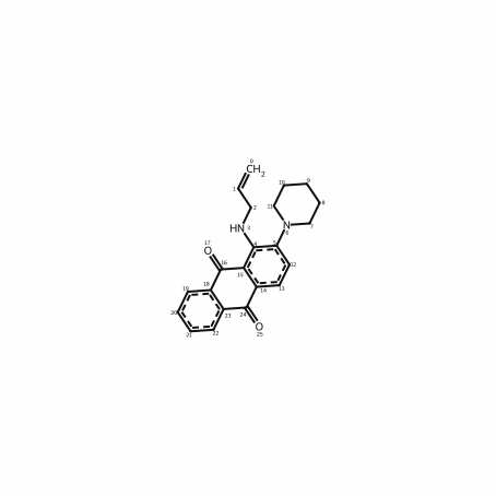 C=CCNc1c(N2CCCCC2)ccc2c1C(=O)c1ccccc1C2=O